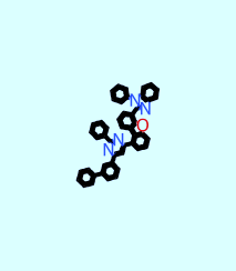 c1ccc(-c2cccc(-c3cc(-c4cccc5oc6c(-c7nc8ccccc8n7-c7ccccc7)cccc6c45)nc(-c4ccccc4)n3)c2)cc1